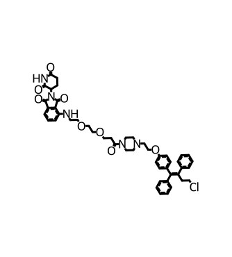 O=C1CCC(N2C(=O)c3cccc(NCCOCCOCCC(=O)N4CCN(CCOc5ccc(C(=C(CCCl)c6ccccc6)c6ccccc6)cc5)CC4)c3C2=O)C(=O)N1